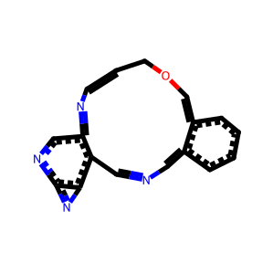 C1=CN=c2cnc3c(c2C=NC=c2ccccc2=COC1)N=3